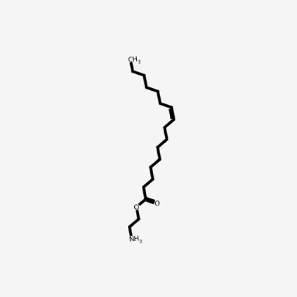 CCCCCC/C=C\CCCCCCCC(=O)OCCN